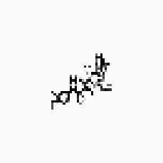 Cc1cc(NC(=O)c2c(C)c(C(=O)C(=O)NC(C)(C)C)n(CCF)c2C)ccc1F